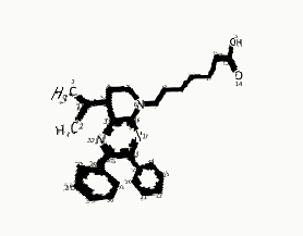 CC(C)C1CCN(CCCCCCC(=O)O)c2nc(-c3ccccc3)c(-c3ccccc3)nc21